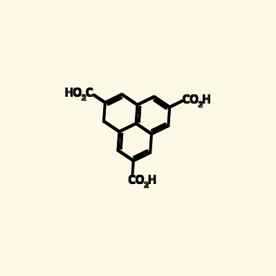 O=C(O)C1=Cc2cc(C(=O)O)cc3cc(C(=O)O)cc(c23)C1